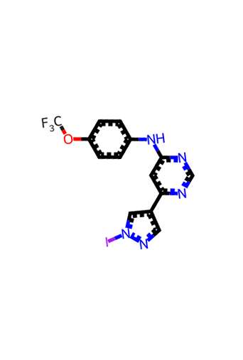 FC(F)(F)Oc1ccc(Nc2cc(-c3cnn(I)c3)ncn2)cc1